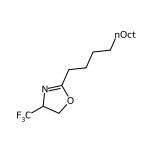 CCCCCCCCCCCCC1=NC(C(F)(F)F)CO1